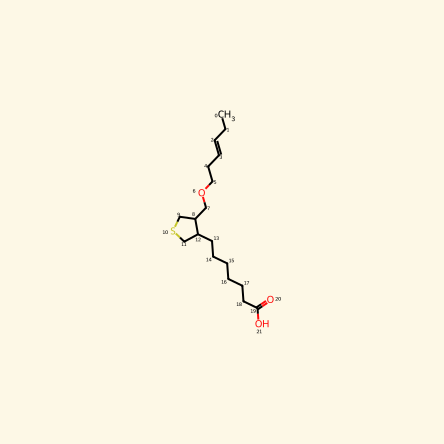 CC/C=C/CCOCC1CSCC1CCCCCCC(=O)O